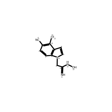 N#Cc1ccc2c(ccn2CC(=N)NO)c1C(F)(F)F